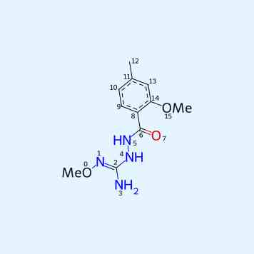 CON=C(N)NNC(=O)c1ccc(C)cc1OC